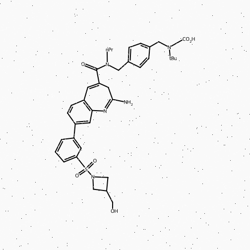 CCCN(Cc1ccc(CN(C(=O)O)C(C)(C)C)cc1)C(=O)C1=Cc2ccc(-c3cccc(S(=O)(=O)N4CC(CO)C4)c3)cc2N=C(N)C1